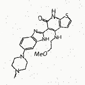 COCCNc1c(-c2nc3ccc(N4CCN(C)CC4)cc3[nH]2)c(=O)[nH]c2sccc12